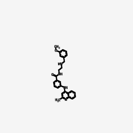 COc1cccc(CNCCNC(=O)c2cccc(Nc3cc(C)nc4ccccc34)c2)c1